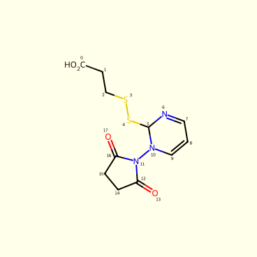 O=C(O)CCSSC1N=CC=CN1N1C(=O)CCC1=O